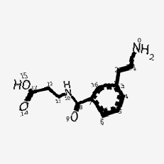 NCCc1cccc(C(=O)NCCC(=O)O)c1